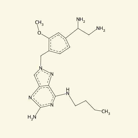 CCCCNc1nc(N)nc2cn(Cc3ccc(C(N)CN)cc3OC)nc12